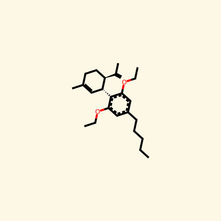 C=C(C)[C@@H]1CCC(C)=C[C@H]1c1c(OCC)cc(CCCCC)cc1OCC